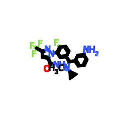 CN(C1CC1)C(c1cccc(N)c1)c1ccc(F)c(-n2nc(C(F)(F)F)cc2C(N)=O)c1